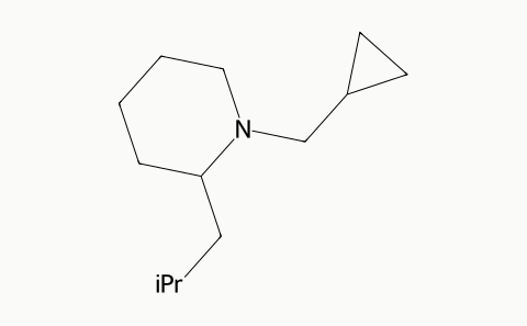 CC(C)CC1CCCCN1CC1CC1